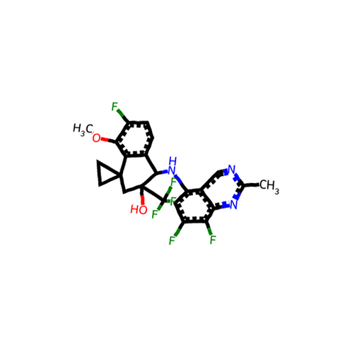 COc1c(F)ccc2c1C1(CC1)CC(O)(C(F)(F)F)C2Nc1cc(F)c(F)c2nc(C)ncc12